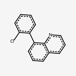 Clc1ccccc1-c1cccc2cccnc12